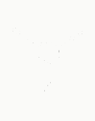 C#Cc1cc(C#C)cc(C#C)c1